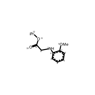 COc1ccccc1NCC(=O)OC(C)C